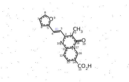 Cc1c(/C=C/c2ccco2)nc2ccc(C(=O)O)cn2c1=O